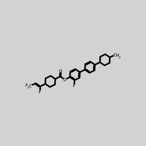 CC1CCC(c2ccc(-c3ccc(OC(=O)C4CCC(/C(F)=C/C(F)(F)F)CC4)c(F)c3)cc2)CC1